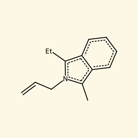 C=CCn1c(C)c2ccccc2c1CC